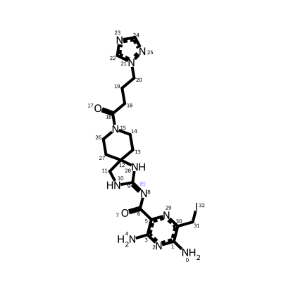 Nc1nc(N)c(C(=O)/N=C2\NCC3(CCN(C(=O)CCCn4cncn4)CC3)N2)nc1CI